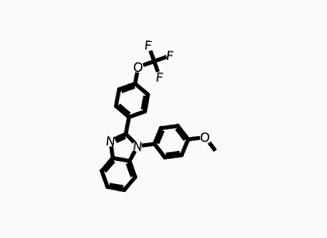 COc1ccc(-n2c(-c3ccc(OC(F)(F)F)cc3)nc3ccccc32)cc1